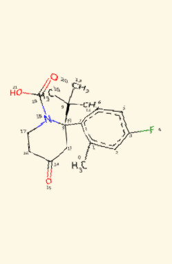 Cc1cc(F)ccc1[C@]1(C(C)(C)C)CC(=O)CCN1C(=O)O